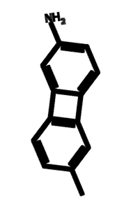 Cc1ccc2c(c1)-c1ccc(N)cc1-2